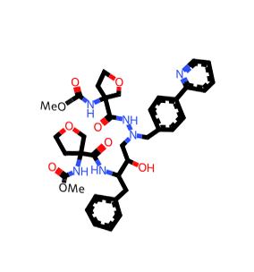 COC(=O)NC1(C(=O)NC(Cc2ccccc2)C(O)CN(Cc2ccc(-c3ccccn3)cc2)NC(=O)C2(NC(=O)OC)CCOC2)CCOC1